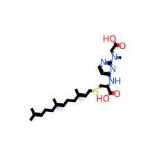 CC(C)=CCC/C(C)=C/CC/C(C)=C/CSCC(Nc1ccnc(N(C)CC(=O)O)n1)C(=O)O